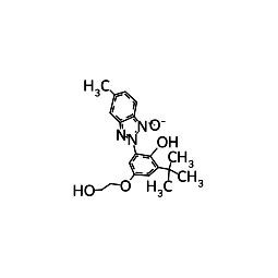 Cc1ccc2c(c1)nn(-c1cc(OCCO)cc(C(C)(C)C)c1O)[n+]2[O-]